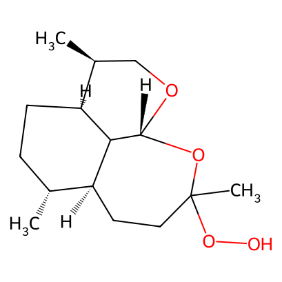 C[C@@H]1CC[C@@H]2C3[C@H](OC[C@@H]2C)OC(C)(OO)CC[C@H]31